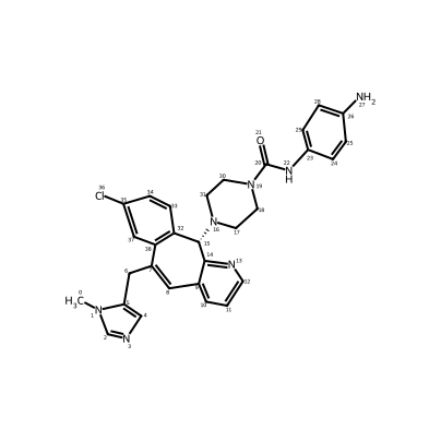 Cn1cncc1CC1=Cc2cccnc2[C@@H](N2CCN(C(=O)Nc3ccc(N)cc3)CC2)c2ccc(Cl)cc21